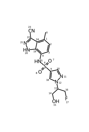 Cc1ccc(NS(=O)(=O)c2cnn(C(CO)CF)c2)c2[nH]nc(C#N)c12